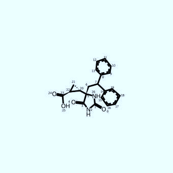 O=C1NC(=O)[C@](CC(c2ccccc2)c2ccccc2)([C@H]2C[C@@H]2C(=O)O)N1